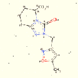 Cc1cc(Cn2nc3n(c2=O)C(C(=O)O)CCC3)no1